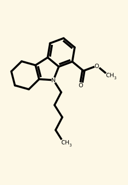 CCCCCn1c2c(c3cccc(C(=O)OC)c31)CCCC2